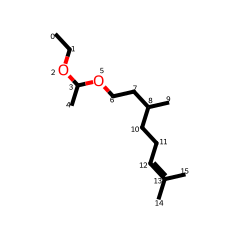 CCOC(C)OCCC(C)CCC=C(C)C